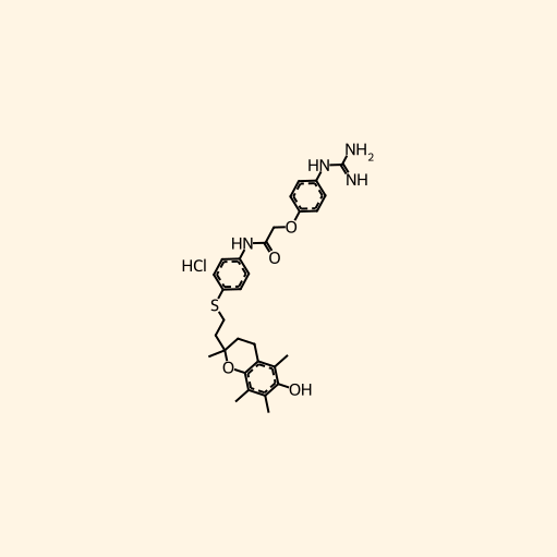 Cc1c(C)c2c(c(C)c1O)CCC(C)(CCSc1ccc(NC(=O)COc3ccc(NC(=N)N)cc3)cc1)O2.Cl